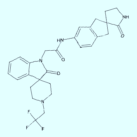 O=C(CN1C(=O)C2(CCN(CC(F)(F)F)CC2)c2ccccc21)Nc1ccc2c(c1)CC1(CCNC1=O)C2